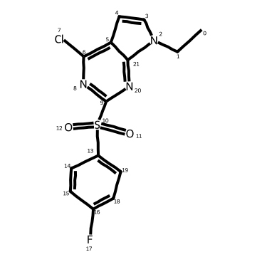 CCn1ccc2c(Cl)nc(S(=O)(=O)c3ccc(F)cc3)nc21